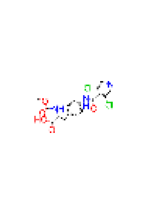 CCOC(=O)N[C@@H](Cc1ccc(NC(=O)c2c(Cl)cncc2Cl)cc1)C(=O)O